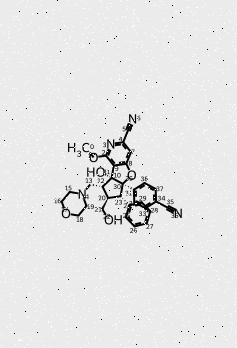 COc1nc(C#N)cc2c1[C@]1(O)[C@@H](CN3CCOCC3)[C@H](CO)[C@@H](c3ccccc3)[C@]1(c1ccc(C#N)cc1)O2